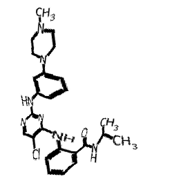 CC(C)NC(=O)c1ccccc1Nc1nc(Nc2cccc(N3CCN(C)CC3)c2)ncc1Cl